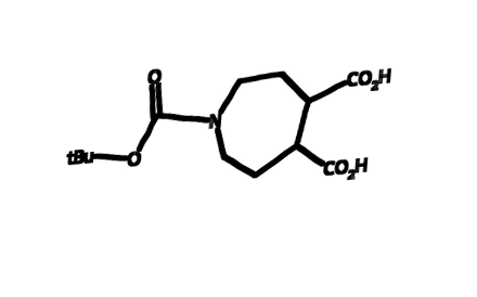 CC(C)(C)OC(=O)N1CCC(C(=O)O)C(C(=O)O)CC1